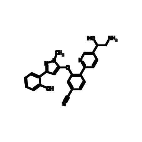 Cn1nc(-c2ccccc2O)cc1Oc1cc(C#N)ccc1-c1ccc(C(O)CN)cn1